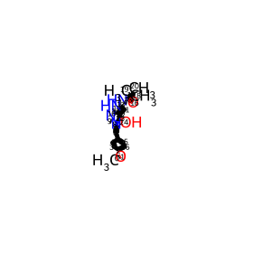 COc1ccc(C#CN2C=Nc3[nH]c(NC(=O)C(C)(C)C)cc3C2O)cc1